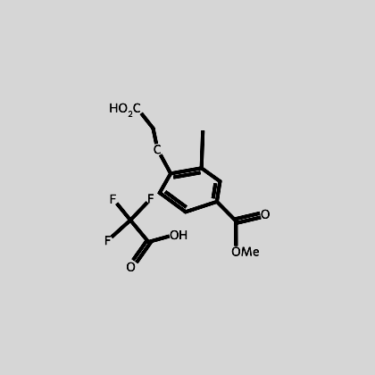 COC(=O)c1ccc(CCC(=O)O)c(C)c1.O=C(O)C(F)(F)F